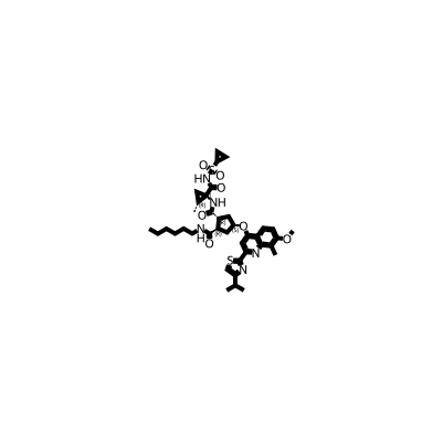 CCCCCCNC(=O)[C@@H]1C[C@H](Oc2cc(-c3nc(C(C)C)cs3)nc3c(C)c(OC)ccc23)C[C@H]1C(=O)N[C@]1(C(=O)NS(=O)(=O)C2CC2)C[C@H]1C